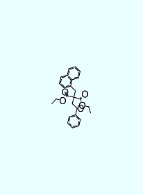 CCOC(=O)C(CC(=O)c1ccccc1)(Cc1cccc2ccccc12)C(=O)OCC